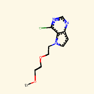 CCOCCOCCn1ccc2ncnc(Cl)c21